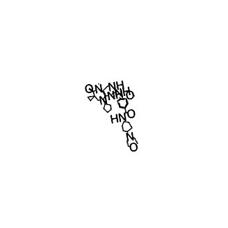 COc1cc(C(=O)N[C@H]2CC[C@H](N3CCOCC3)CC2)ccc1NC1NCC2=C(N1)N(C1CCCC1)CC1(CC1)C(=O)N2C